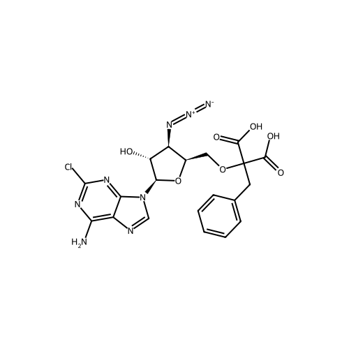 [N-]=[N+]=N[C@@H]1[C@@H](O)[C@H](n2cnc3c(N)nc(Cl)nc32)O[C@@H]1COC(Cc1ccccc1)(C(=O)O)C(=O)O